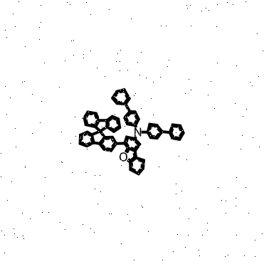 c1ccc(-c2ccc(N(c3ccc(-c4ccccc4)cc3)c3cc(-c4ccc5c(c4)C4(c6ccccc6-c6ccccc64)c4ccccc4-5)c4oc5ccccc5c4c3)cc2)cc1